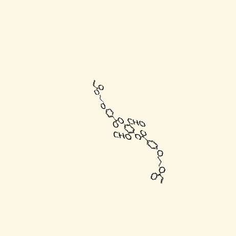 C=CC(=O)OCCCOc1ccc(C(=O)Oc2cc(C=O)c(OC(=O)c3ccc(OCCCOC(=O)C=C)cc3)cc2C=O)cc1